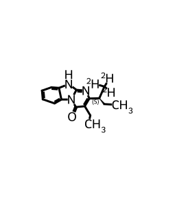 [2H]C([2H])([2H])[C@@H](CC)c1nc2[nH]c3ccccc3n2c(=O)c1CC